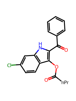 CCCC(=O)Oc1c(C(=O)c2ccccc2)[nH]c2cc(Cl)ccc12